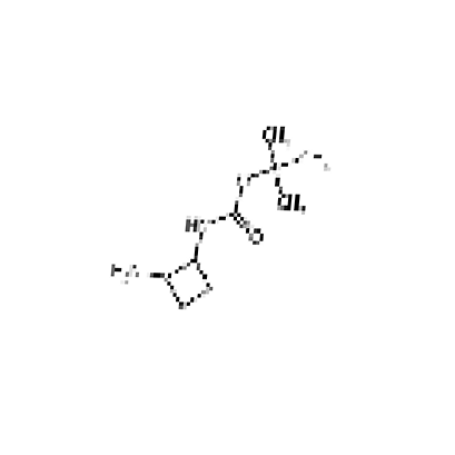 CC(C)(C)OC(=O)NC1CCC1N